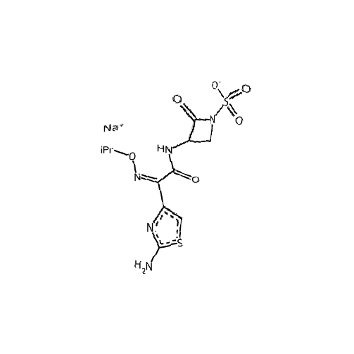 CC(C)ON=C(C(=O)NC1CN(S(=O)(=O)[O-])C1=O)c1csc(N)n1.[Na+]